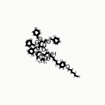 CCCCCCOc1ccc(CCCCC(=O)N[C@@H](COC2OC(COCc3ccccc3)C(OCc3ccccc3)C(OCc3ccccc3)C2OCc2ccccc2)[C@@H]2OC(C)(C)O[C@H]2CCCCC)cc1